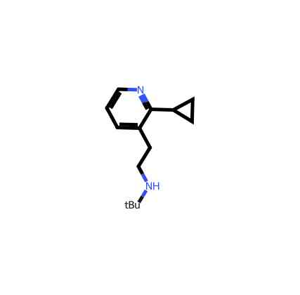 CC(C)(C)NCCc1cccnc1C1CC1